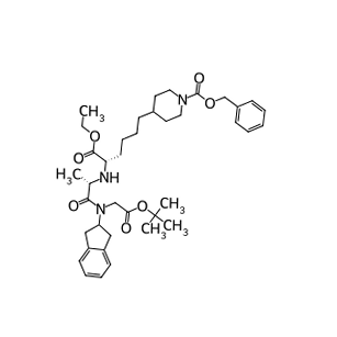 CCOC(=O)[C@H](CCCCC1CCN(C(=O)OCc2ccccc2)CC1)N[C@@H](C)C(=O)N(CC(=O)OC(C)(C)C)C1Cc2ccccc2C1